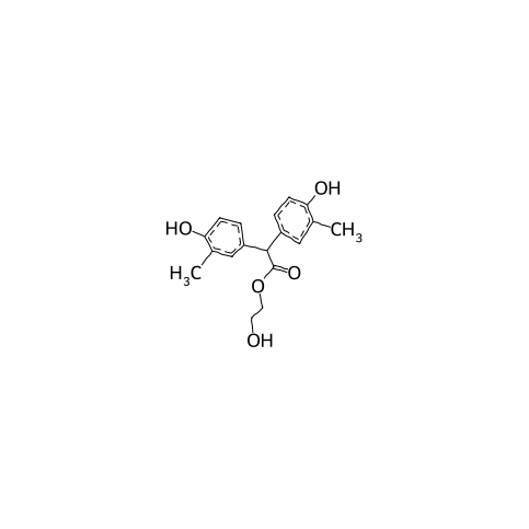 Cc1cc(C(C(=O)OCCO)c2ccc(O)c(C)c2)ccc1O